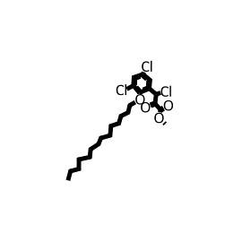 CCCCCCCCCCCCCCOc1c(Cl)cc(Cl)cc1C(Cl)C(=O)C(=O)OC